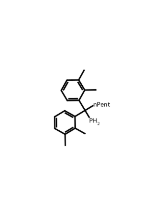 CCCCCC(P)(c1cccc(C)c1C)c1cccc(C)c1C